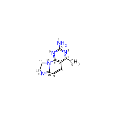 Cc1nc(N)nc2c1C=CC1=NCCN12